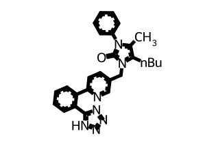 CCCCc1c(C)n(-c2ccccc2)c(=O)n1Cc1ccc(-c2ccccc2-c2nnn[nH]2)nc1